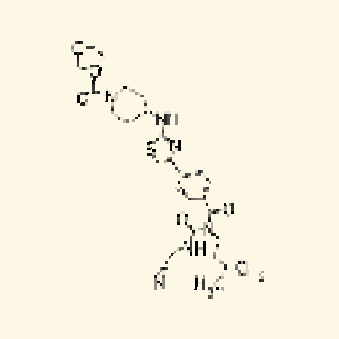 CCOC(=O)N1CCC(Nc2nc(-c3ccc(C(=O)N(CCC(C)C)C(=O)NCC#N)cc3)cs2)CC1